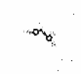 COc1ccc(C(=O)C#Cc2ccc(OC)cc2C)cc1